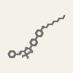 CCCCCCCCOc1ccc(-c2ccc(C(=O)OC(/C=C/c3ccccc3)C(F)(F)F)cc2)cc1